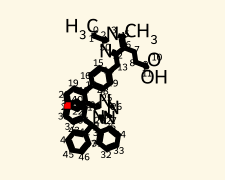 CCc1nc(C)c(CCC(=O)O)c(Cc2ccc(-c3ccccc3-c3nnnn3C(c3ccccc3)(c3ccccc3)c3ccccc3)cc2)n1